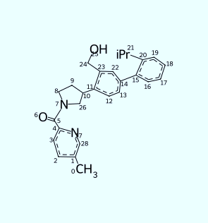 Cc1ccc(C(=O)N2CCC(c3ccc(-c4ccccc4C(C)C)cc3CO)C2)nc1